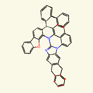 c1ccc(-c2ccccc2B2c3ccc4c(oc5ccccc54)c3-n3c4c2ccc2cccc(c24)n2c4cc5c(cc4nc32)C2c3ccccc3C5c3ccccc32)cc1